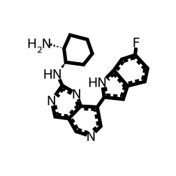 N[C@@H]1CCCC[C@@H]1Nc1ncc2cncc(-c3cc4ccc(F)cc4[nH]3)c2n1